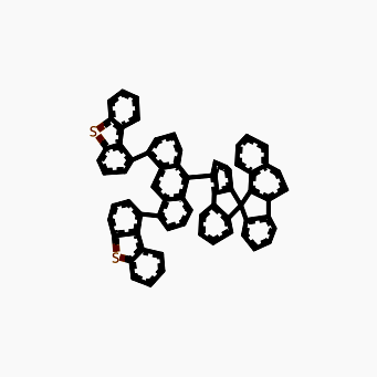 c1ccc2c(c1)-c1ccc3ccccc3c1C21c2ccccc2-c2c(-c3c4cccc(-c5cccc6sc7ccccc7c56)c4cc4c(-c5cccc6sc7ccccc7c56)cccc34)cccc21